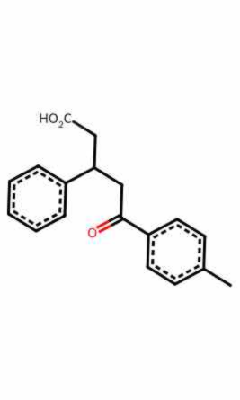 Cc1ccc(C(=O)CC(CC(=O)O)c2ccccc2)cc1